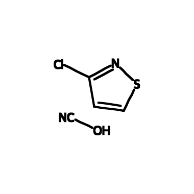 Clc1ccsn1.N#CO